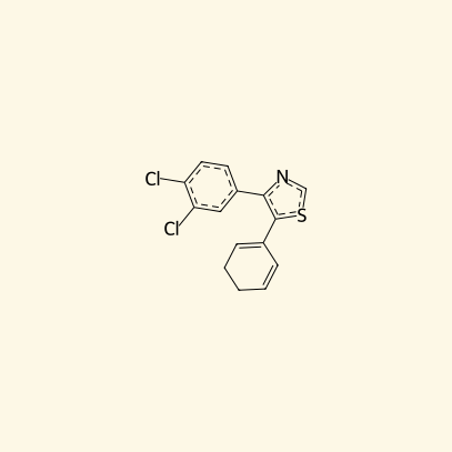 Clc1ccc(-c2ncsc2C2=CCCC=C2)cc1Cl